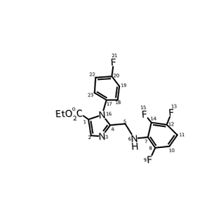 CCOC(=O)c1cnc(CNc2c(F)ccc(F)c2F)n1-c1ccc(F)cc1